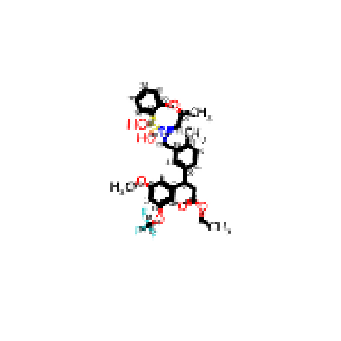 CCOC(=O)CC(c1cc(OC)cc(OC(F)(F)F)c1)c1ccc(C)c(CN2CC(C)Oc3ccccc3S2(O)O)c1